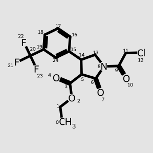 CCOC(=O)C1C(=O)N(C(=O)CCl)CC1c1cccc(C(F)(F)F)c1